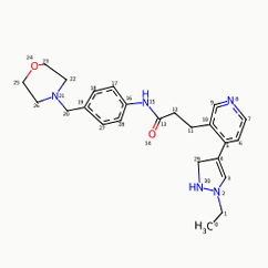 CCN1C=C(c2ccncc2CCC(=O)Nc2ccc(CN3CCOCC3)cc2)CN1